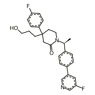 C[C@@H](c1ccc(-c2cncc(F)c2)cc1)N1CCC(CCCO)(c2ccc(F)cc2)CC1=O